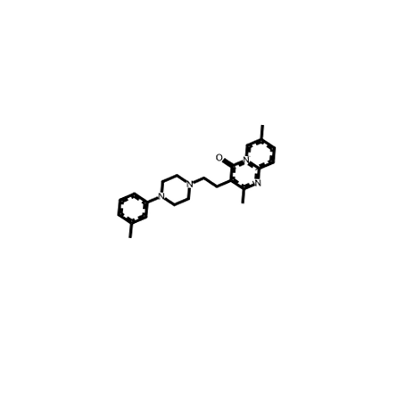 Cc1cccc(N2CCN(CCc3c(C)nc4ccc(C)cn4c3=O)CC2)c1